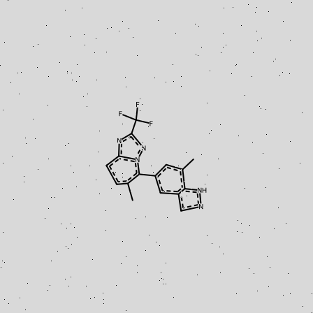 Cc1ccc2nc(C(F)(F)F)nn2c1-c1cc(C)c2[nH]ncc2c1